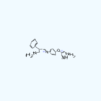 N=C/C(=C\N)Oc1ccc(/N=C/C(CN)c2ccccc2)cc1